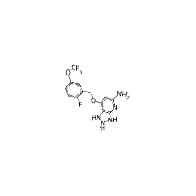 Nc1cc(OCc2cc(OC(F)(F)F)ccc2F)c2c(n1)NNN2